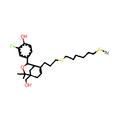 CC(=O)SCCCCCCSCCCC1=CCC2(CO)CC1C(c1ccc(O)c(F)c1)OC2(C)C